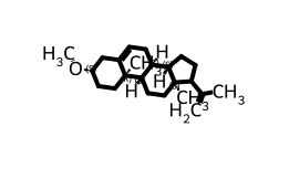 C=C(C)C1CC[C@H]2[C@@H]3CC=C4C[C@@H](OC)CC[C@]4(C)[C@H]3CC[C@]12C